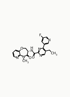 CCc1cnc(C(=O)N[C@H]2COc3cccnc3N(C)C2=O)nc1-c1cncc(F)c1